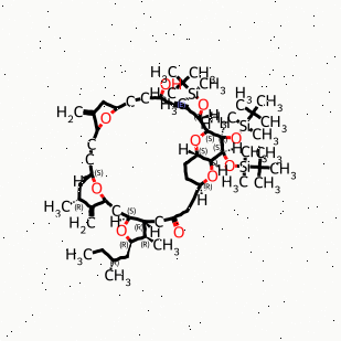 C=C1CC2CCC(O)/C=C/[C@H](O[Si](C)(C)C(C)(C)C)[C@@H]3O[C@H]4CC[C@H](CC(=O)C[C@@H]5[C@@H](C)[C@@H](C[C@H](C)CC)O[C@H]5CC5O[C@@H](CCC1O2)C[C@@H](C)C5=C)O[C@@H]4[C@H](O[Si](C)(C)C(C)(C)C)[C@@H]3O[Si](C)(C)C(C)(C)C